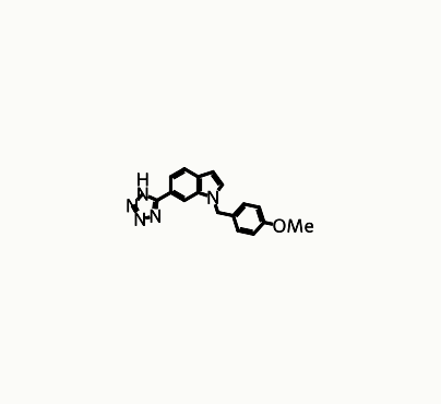 COc1ccc(Cn2ccc3ccc(-c4nnn[nH]4)cc32)cc1